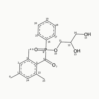 Cc1cc(C)c(C(=O)P(=O)(OCC(O)CO)c2ccccc2)c(C)c1